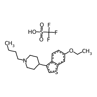 CCCCN1CCC(c2csc3cc(OCC)ccc23)CC1.O=S(=O)(O)C(F)(F)F